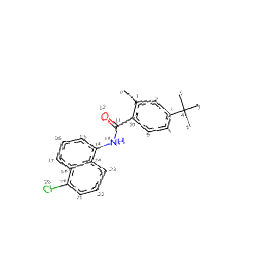 Cc1cc(C(C)(C)C)ccc1C(=O)Nc1cccc2c(Cl)cccc12